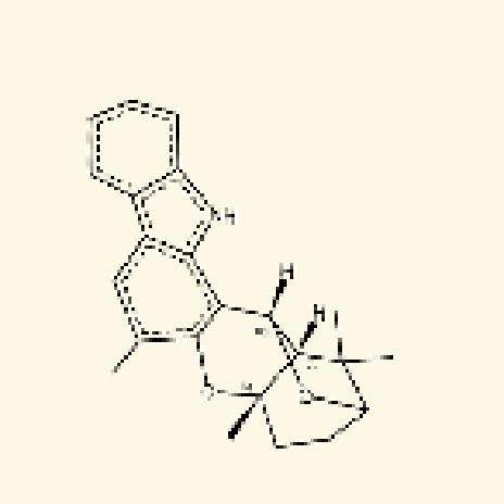 Cc1cc2c([nH]c3ccccc32)c2c1O[C@@]1(C)CCC3O[C@@H]2[C@@H]1C3(C)C